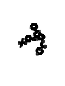 O=C(COc1ccc2nc(-c3cccnc3)nc(Nc3cccc(OC(F)(F)F)c3)c2c1)N1CCOCC1